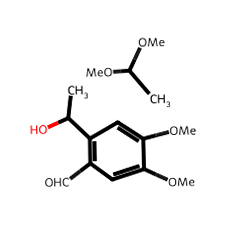 COC(C)OC.COc1cc(C=O)c(C(C)O)cc1OC